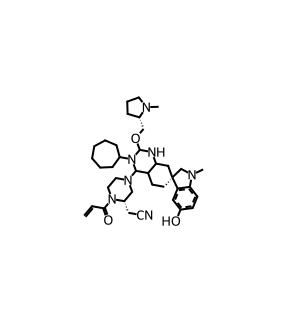 C=CC(=O)N1CCN(C2C3CC[C@]4(CC3NC(OC[C@@H]3CCCN3C)N2C2CCCCCC2)CN(C)c2ccc(O)cc24)C[C@@H]1CC#N